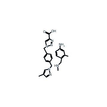 CNCc1ccc(N)cc1C.Cc1cnn(Cc2ccc(Cn3cc(C(=O)O)nn3)cc2)c1